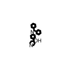 CN1CCC(O)(c2ccc(N=C(c3ccccc3)c3ccccc3)cc2)CC1